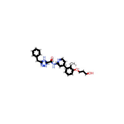 Cc1c(OCCCO)cccc1-c1ccnc(NC(=O)c2nnc(Cc3ccccc3)[nH]2)c1